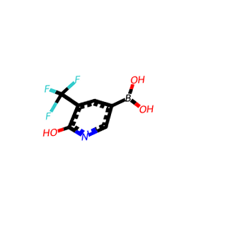 OB(O)c1cnc(O)c(C(F)(F)F)c1